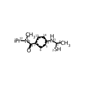 CC(S)Nc1ccc(C(=O)N(C)C(C)C)cc1